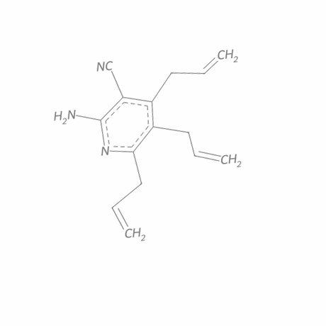 C=CCc1nc(N)c(C#N)c(CC=C)c1CC=C